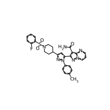 Cc1ccc(-n2nc(C3CCN(S(=O)(=O)c4ccccc4F)CC3)cc2-c2nn3cccnc3c2C(N)=O)cc1